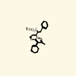 CCOC(=O)C(Cc1ccccc1)c1ccnc2c(C3=CCCCC3)c(C)nn12